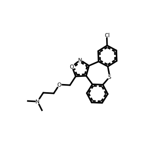 CN(C)CCOCc1onc2c1-c1ccccc1Sc1ccc(Cl)cc1-2